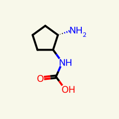 N[C@H]1CCCC1NC(=O)O